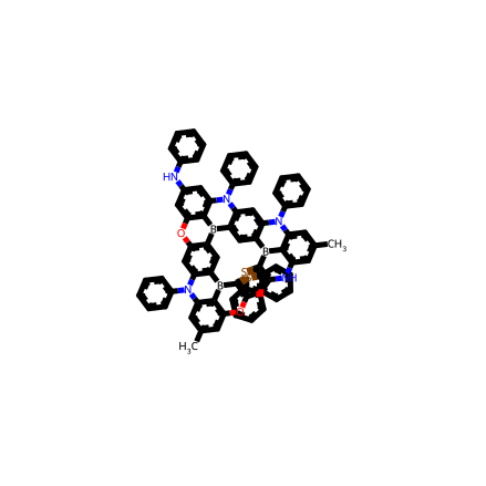 Cc1cc2c3c(c1)N(c1ccccc1)c1cc4c(cc1B3c1sc3ccccc3c1N2)B1c2cc3c(cc2Oc2cc(Nc5ccccc5)cc(c21)N4c1ccccc1)N(c1ccccc1)c1cc(C)cc2c1B3c1sc3ccccc3c1O2